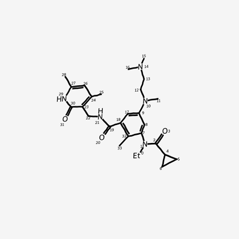 CCN(C(=O)C1CC1)c1cc(N(C)CCN(C)C)cc(C(=O)NCc2c(C)cc(C)[nH]c2=O)c1C